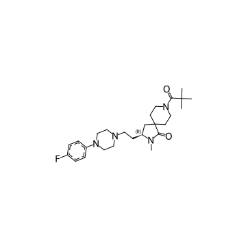 CN1C(=O)C2(CCN(C(=O)C(C)(C)C)CC2)C[C@@H]1CCN1CCN(c2ccc(F)cc2)CC1